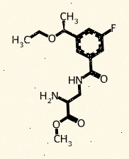 CCO[C@@H](C)c1cc(F)cc(C(=O)NCC(N)C(=O)OC)c1